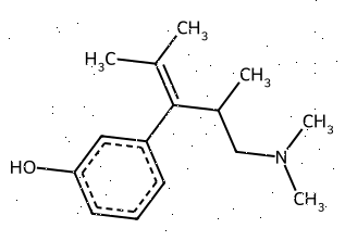 CC(C)=C(c1cccc(O)c1)C(C)CN(C)C